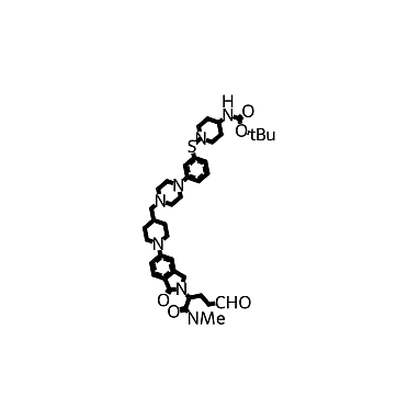 CNC(=O)C(CCC=O)N1Cc2cc(N3CCC(CN4CCN(c5cccc(SN6CCC(NC(=O)OC(C)(C)C)CC6)c5)CC4)CC3)ccc2C1=O